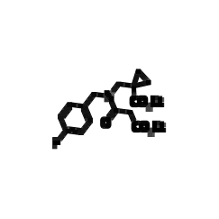 CCOC(=O)CC(=O)N(Cc1ccc(F)cc1)CC1(C(=O)OCC)CC1